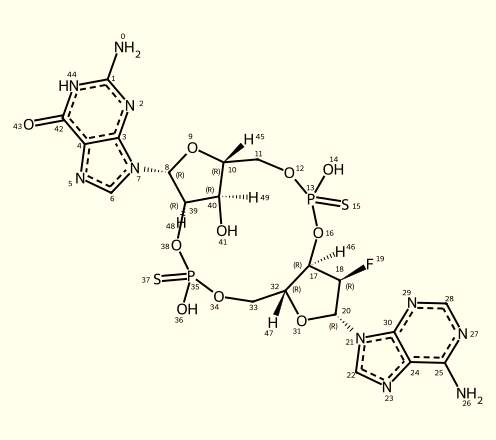 Nc1nc2c(ncn2[C@@H]2O[C@@H]3COP(O)(=S)O[C@H]4[C@@H](F)[C@H](n5cnc6c(N)ncnc65)O[C@@H]4COP(O)(=S)O[C@@H]2[C@@H]3O)c(=O)[nH]1